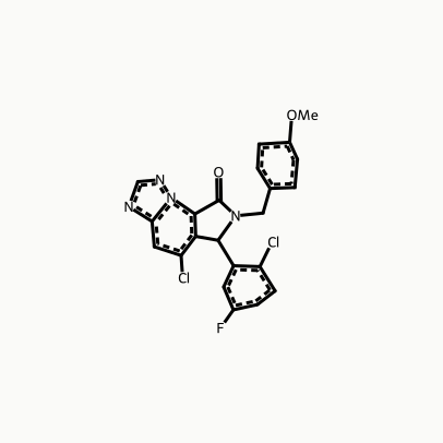 COc1ccc(CN2C(=O)c3c(c(Cl)cc4ncnn34)C2c2cc(F)ccc2Cl)cc1